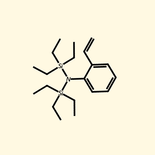 C=Cc1ccccc1N([Si](CC)(CC)CC)[Si](CC)(CC)CC